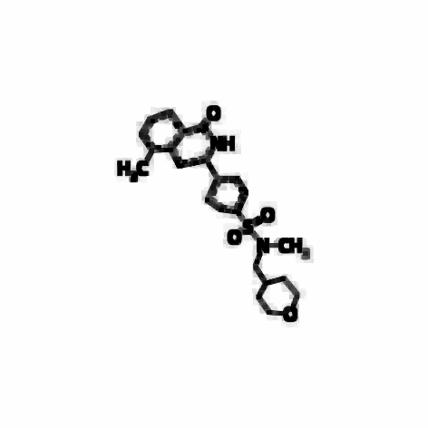 Cc1cccc2c(=O)[nH]c(-c3ccc(S(=O)(=O)N(C)CC4CCOCC4)cc3)cc12